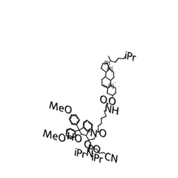 COc1ccc(C(c2ccccc2)(c2ccc(OC)cc2)C(O)C2CN(C(=O)CCCCCNC(=O)OC3CC[C@@]4(C)C(=CCC5C4CC[C@@]4(C)C5CC[C@@H]4C(C)CCCC(C)C)C3)CC2OP(OCCC#N)N(C(C)C)C(C)C)cc1